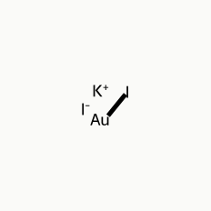 [I-].[I][Au].[K+]